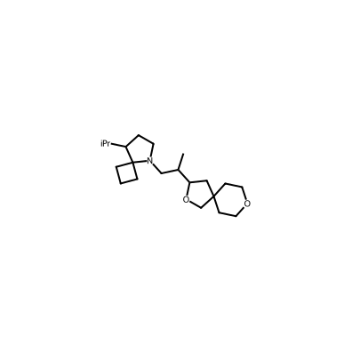 CC(C)C1CCN(CC(C)C2CC3(CCOCC3)CO2)C12CCC2